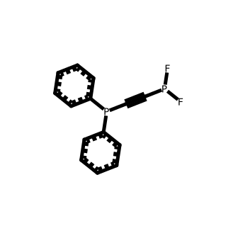 FP(F)C#CP(c1ccccc1)c1ccccc1